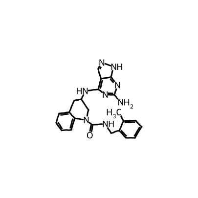 Cc1ccccc1CNC(=O)N1CC(Nc2nc(N)nc3[nH]ncc23)Cc2ccccc21